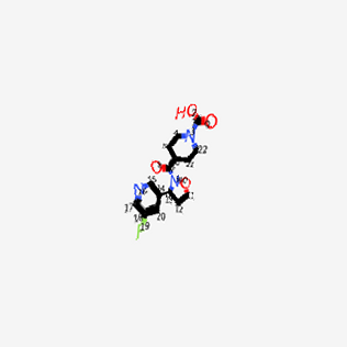 O=C(O)N1CCC(C(=O)N2OCC[C@H]2c2cncc(F)c2)CC1